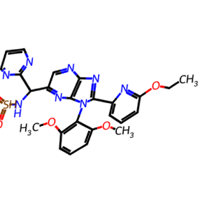 CCOc1cccc(-c2nc3ncc(C(N[SH](=O)=O)c4ncccn4)nc3n2-c2c(OC)cccc2OC)n1